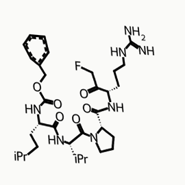 CC(C)CC[C@H](NC(=O)OCc1ccccc1)C(=O)N[C@H](C(=O)N1CCC[C@H]1C(=O)N[C@@H](CCCNC(=N)N)C(=O)CF)C(C)C